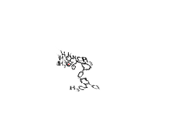 CCc1cc(Oc2ccc(F)c([C@]3(C)CS(=O)(=O)C(C)(C)C(N)=N3)c2)ccc1Cl